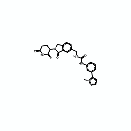 Cn1nccc1-c1cccc(NC(=O)NCc2ccc3c(c2)C(=O)N(C2CCC(=O)NC2=O)C3)c1